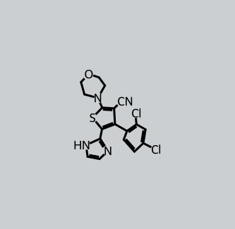 N#Cc1c(N2CCOCC2)sc(-c2ncc[nH]2)c1-c1ccc(Cl)cc1Cl